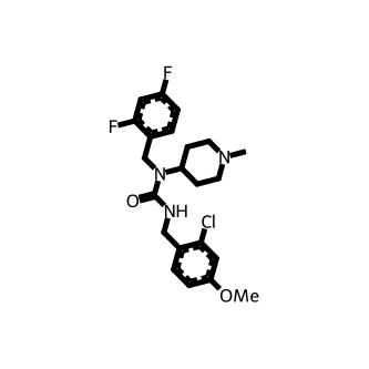 COc1ccc(CNC(=O)N(Cc2ccc(F)cc2F)C2CCN(C)CC2)c(Cl)c1